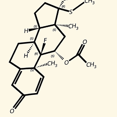 CS[C@]1(S)CC[C@H]2[C@@H]3CCC4=CC(=O)C=C[C@]4(C)[C@@]3(F)[C@@H](OC(C)=O)C[C@@]21C